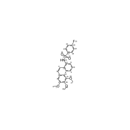 COc1cc(/C=C\c2ccccc2NS(=O)(=O)c2ccc(F)cc2)cc(OC)c1OC